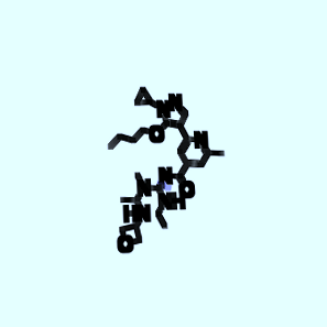 CCCCOc1c(-c2cc(C(=O)/N=C(\NCC)N(C)C(C)NC3COC3)cc(C)n2)cnn1C1CC1